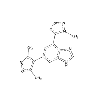 Cc1noc(C)c1-c1cc(-c2ccnn2C)c2nc[nH]c2c1